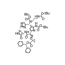 CC(C)(C)OC(=O)NCCCN(Cc1cnn(C[C@H]2NC(=O)[C@H]2NC(=O)C(=NOC2(C(=O)OC(c3ccccc3)c3ccccc3)CC2)c2csc(NC(=O)OC(C)(C)C)n2)n1)C(=O)OC(C)(C)C